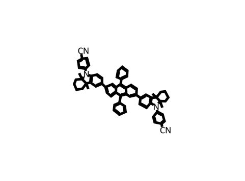 CC12CCCCC1(C)N(c1ccc(C#N)cc1)c1ccc(-c3ccc4c(-c5ccccc5)c5cc(-c6ccc7c(c6)C6(C)CCCCC6(C)N7c6ccc(C#N)cc6)ccc5c(-c5ccccc5)c4c3)cc12